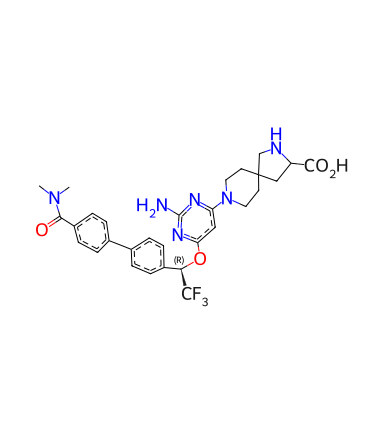 CN(C)C(=O)c1ccc(-c2ccc([C@@H](Oc3cc(N4CCC5(CC4)CNC(C(=O)O)C5)nc(N)n3)C(F)(F)F)cc2)cc1